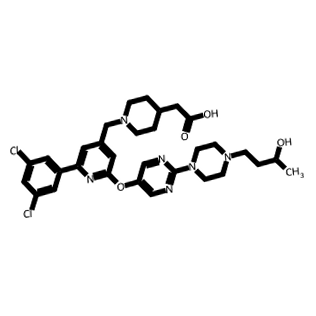 CC(O)CCN1CCN(c2ncc(Oc3cc(CN4CCC(CC(=O)O)CC4)cc(-c4cc(Cl)cc(Cl)c4)n3)cn2)CC1